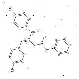 CN(C/C(=C\c1ccc(Cl)cc1)C(=O)c1ccc(Cl)cc1)Cc1ccccc1